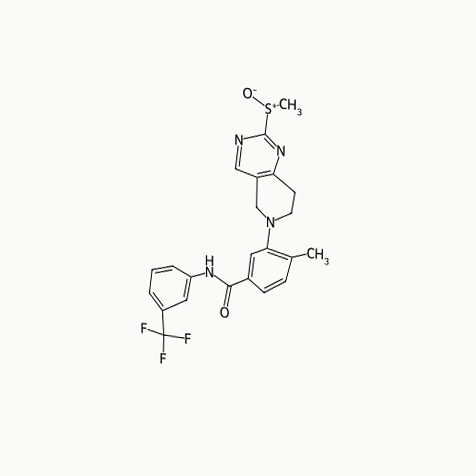 Cc1ccc(C(=O)Nc2cccc(C(F)(F)F)c2)cc1N1CCc2nc([S+](C)[O-])ncc2C1